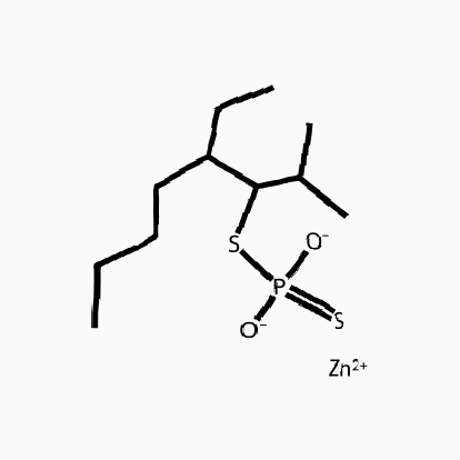 CCCCC(CC)C(SP([O-])([O-])=S)C(C)C.[Zn+2]